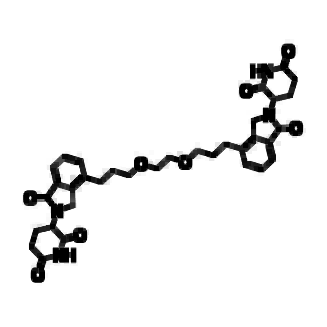 O=C1CCC(N2Cc3c(CCCOCCOCCCc4cccc5c4CN(C4CCC(=O)NC4=O)C5=O)cccc3C2=O)C(=O)N1